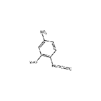 COc1cc([N+](=O)[O-])ccc1N=C=O